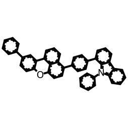 c1ccc(-c2ccc3c(c2)-c2cccc4c(-c5ccc(-c6cccc7c8ccccc8n(-c8ccccc8)c67)cc5)ccc(c24)O3)cc1